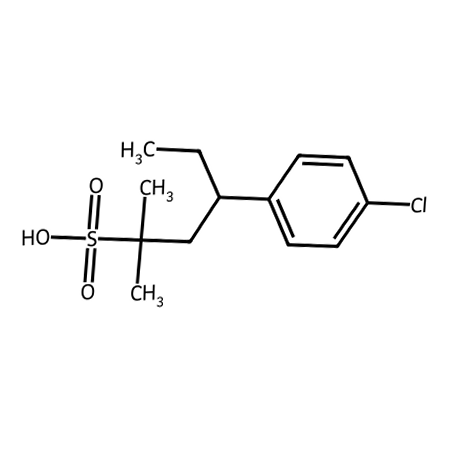 CCC(CC(C)(C)S(=O)(=O)O)c1ccc(Cl)cc1